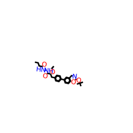 CCCC(=O)NNC(=O)C(Cc1ccc(-c2cccc(CN(C)C(=O)OC(C)(C)C)c2)cc1)OCC